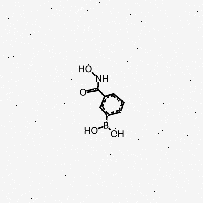 O=C(NO)c1cccc(B(O)O)c1